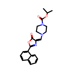 CC(C)OC(=O)N1CCN(/C=C2/N=C(c3cccc4ccccc34)OC2=O)CC1